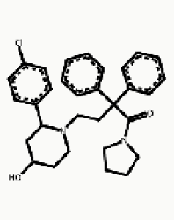 O=C(N1CCCC1)C(CCN1CCC(O)CC1c1ccc(Cl)cc1)(c1ccccc1)c1ccccc1